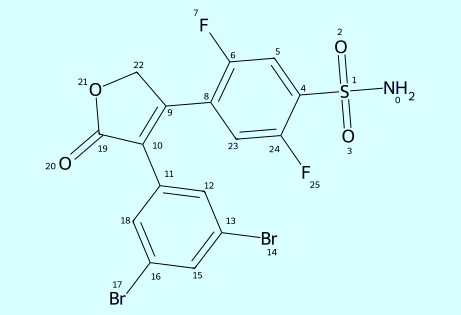 NS(=O)(=O)c1cc(F)c(C2=C(c3cc(Br)cc(Br)c3)C(=O)OC2)cc1F